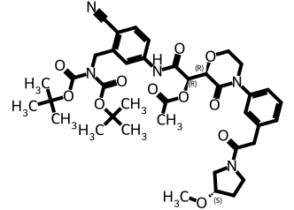 CO[C@H]1CCN(C(=O)Cc2cccc(N3CCO[C@H]([C@@H](OC(C)=O)C(=O)Nc4ccc(C#N)c(CN(C(=O)OC(C)(C)C)C(=O)OC(C)(C)C)c4)C3=O)c2)C1